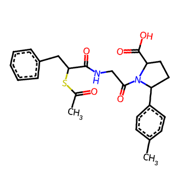 CC(=O)SC(Cc1ccccc1)C(=O)NCC(=O)N1C(C(=O)O)CCC1c1ccc(C)cc1